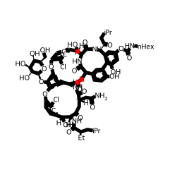 CCCCCCNC(=O)Oc1cc(O)c2c(c1)[C@@H](C(=O)CC(C)C)NC(=O)[C@H]1NC(=O)[C@H](CC(=O)[C@@H]3NC(=O)[C@H](CC(N)=O)CC(=O)[C@H](NC(=O)[C@H](CC)CC(C)C)[C@H](O)c4ccc(c(Cl)c4)Oc4cc3cc(c4O[C@@H]3O[C@H](CO)[C@@H](O)[C@H](O)[C@H]3O)Oc3ccc(cc3Cl)[C@H]1O)c1ccc(O)c-2c1